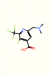 CN(C)Cc1cc(C(=O)O)c(F)c(C(F)(F)F)n1